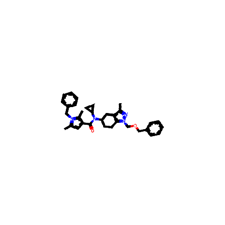 Cc1nn(COCc2ccccc2)c2c1CC(N(C(=O)c1cc(C)n(Cc3ccccc3)c1C)C1CC1)CC2